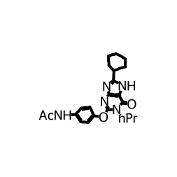 CCCn1c(Oc2ccc(NC(C)=O)cc2)nc2nc(C3CCCCC3)[nH]c2c1=O